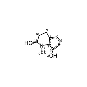 CCN1c2c(O)cccc2CCC1O